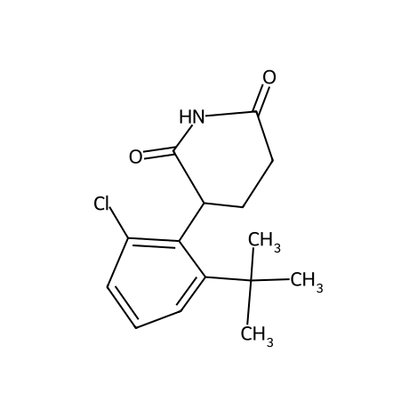 CC(C)(C)c1cccc(Cl)c1C1CCC(=O)NC1=O